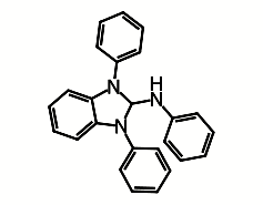 c1ccc(NC2N(c3ccccc3)c3ccccc3N2c2ccccc2)cc1